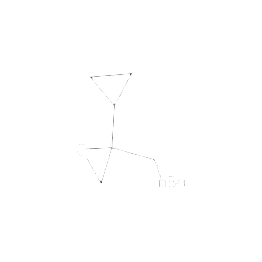 CCCCCC1(C2CC2)CO1